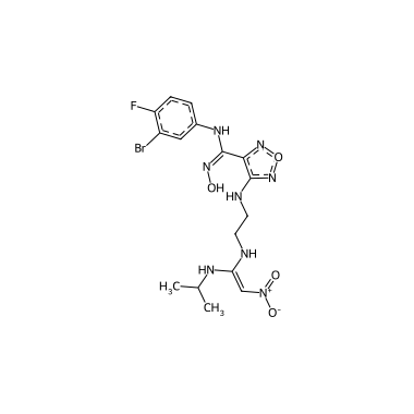 CC(C)NC(=C[N+](=O)[O-])NCCNc1nonc1C(=NO)Nc1ccc(F)c(Br)c1